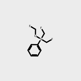 FCO[Si](CF)(CF)c1ccccc1